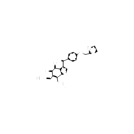 BC1=C(C=C)C(=O)C(=O)c2c(C(=O)c3ccc(OCc4nccs4)cc3)coc21